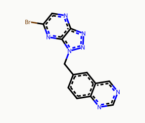 Brc1cnc2nnn(Cc3ccc4ncncc4c3)c2n1